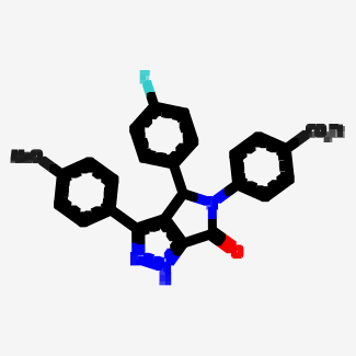 CCOC(=O)c1ccc(N2C(=O)c3[nH]nc(-c4ccc(OC)cc4)c3C2c2ccc(F)cc2)cc1